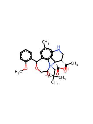 COc1ccccc1C1OCC(=O)[N@@+](CC(C)(C)C)([C@@]2(C(=O)O)CCNC[C@@H]2C(C)=O)c2ccc(C)cc21